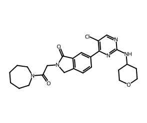 O=C(CN1Cc2ccc(-c3nc(NC4CCOCC4)ncc3Cl)cc2C1=O)N1CCCCCC1